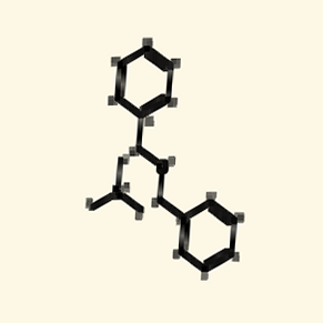 CN(C)C.c1ccc(COCc2ccccc2)cc1